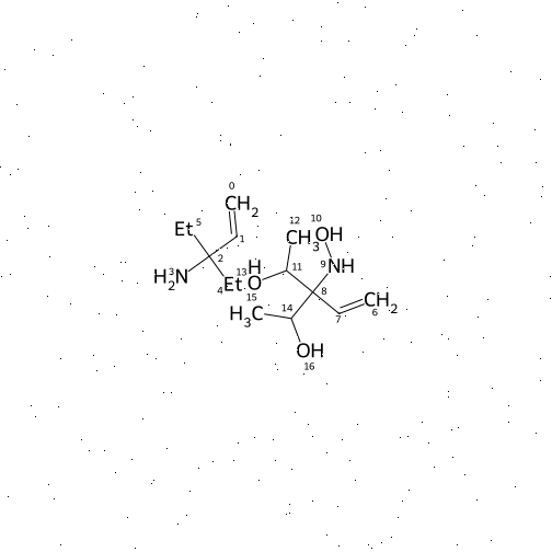 C=CC(N)(CC)CC.C=CC(NO)(C(C)O)C(C)O